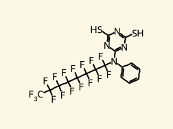 FC(F)(F)C(F)(F)C(F)(F)C(F)(F)C(F)(F)C(F)(F)C(F)(F)C(F)(F)N(c1ccccc1)c1nc(S)nc(S)n1